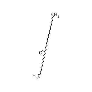 CCCCCCCCCCCCCCCCCCC(C=O)CCCCCCCCCCCC